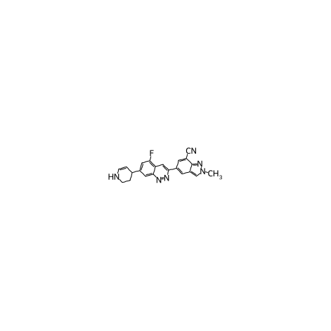 Cn1cc2cc(-c3cc4c(F)cc(C5C=CNCC5)cc4nn3)cc(C#N)c2n1